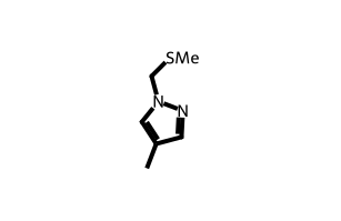 CSCn1cc(C)cn1